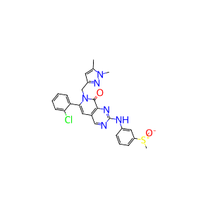 Cc1cc(Cn2c(-c3ccccc3Cl)cc3cnc(Nc4cccc([S+](C)[O-])c4)nc3c2=O)nn1C